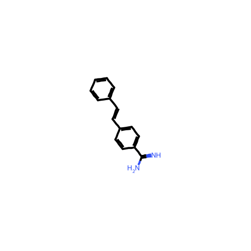 N=C(N)c1ccc(C=Cc2ccccc2)cc1